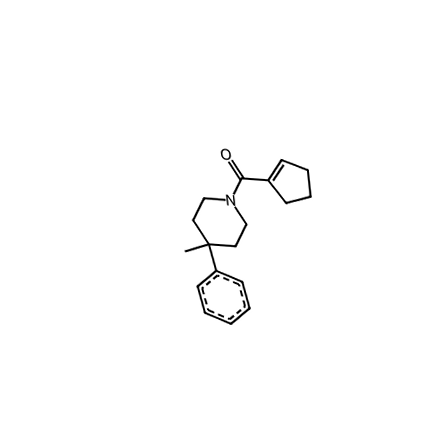 CC1(c2ccccc2)CCN(C(=O)C2=CCCC2)CC1